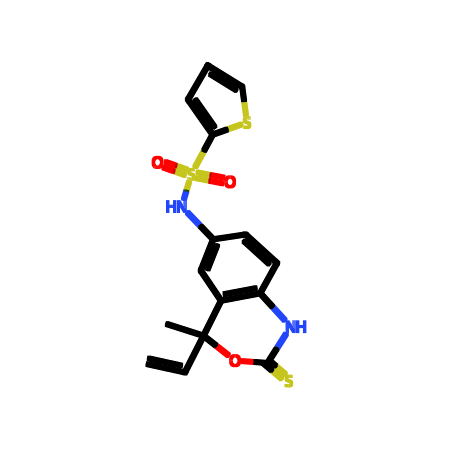 C=CC1(C)OC(=S)Nc2ccc(NS(=O)(=O)c3cccs3)cc21